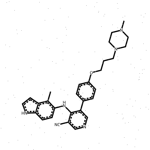 Cc1c(Nc2c(C#N)cncc2-c2ccc(OCCCN3CCN(C)CC3)cc2)ccc2[nH]ccc12